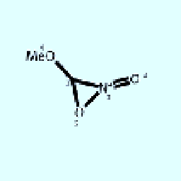 COC1O[N+]1=O